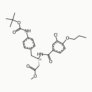 CCCOc1ccc(C(=O)N[C@H](CC(=O)OC)Cc2ccc(NC(=O)OC(C)(C)C)cc2)cc1Cl